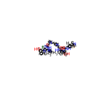 CCc1cccc2cc(O)cc(-c3ncc4c(N5CC6CCC(C5)N6)nc(OC[C@@H]5CCCN5CCC5CCN(CCC(=O)N[C@H](C(=O)N6C[C@H](O)C[C@H]6C(=O)NCc6ccc(-c7scnc7C)cc6)C(C)(C)C)CC5)nc4c3F)c12